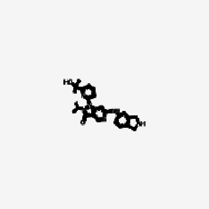 CC(C)n1c(=O)c2cnc(Nc3ccc4c(c3)CNC4)cc2n1-c1cccc(C(C)(C)O)n1